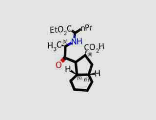 CCCC(N[C@@H](C)C(=O)C1[C@H]2CCCC[C@H]2C[C@H]1C(=O)O)C(=O)OCC